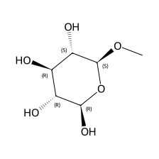 CO[C@H]1O[C@@H](O)[C@H](O)[C@@H](O)[C@@H]1O